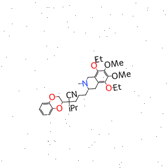 CCOc1c2c(c(OCC)c(OC)c1OC)CN(C)C(CCCC(C#N)(C(C)C)C1COc3ccccc3O1)C2